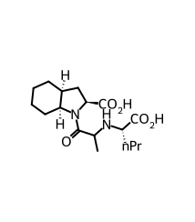 CCC[C@H](NC(C)C(=O)N1[C@H](C(=O)O)C[C@@H]2CCCC[C@@H]21)C(=O)O